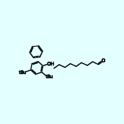 CC(C)(C)c1ccc(O)c(C(C)(C)C)c1.CCCCCCCCC=O.c1ccccc1